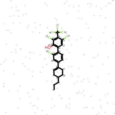 CCCC1CC=C(c2ccc(-c3cc(F)c(C(F)(F)F)c(F)c3O)c(F)c2)CC1